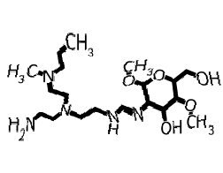 CCCN(C)CCN(CCN)CCNC=NC1C(OC)OC(CO)C(OC)C1O